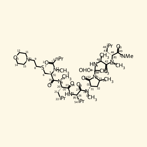 CCCC(=O)N(C)[C@H](CSCCN1CCOCC1)C(=O)N(C)[C@@H](CC(C)C)C(=O)N[C@@H](C(=O)N(C)[C@H]1CC(C)N([C@@](C)(C=O)N[C@@H](C)C(=O)N(C)[C@H](CC(C)C)C(=O)NC)C1=O)C(C)C